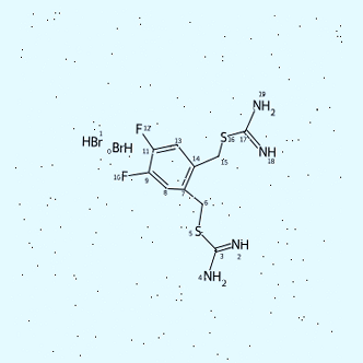 Br.Br.N=C(N)SCc1cc(F)c(F)cc1CSC(=N)N